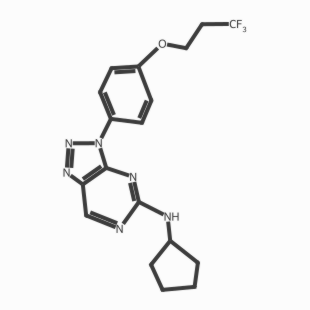 FC(F)(F)CCOc1ccc(-n2nnc3cnc(NC4CCCC4)nc32)cc1